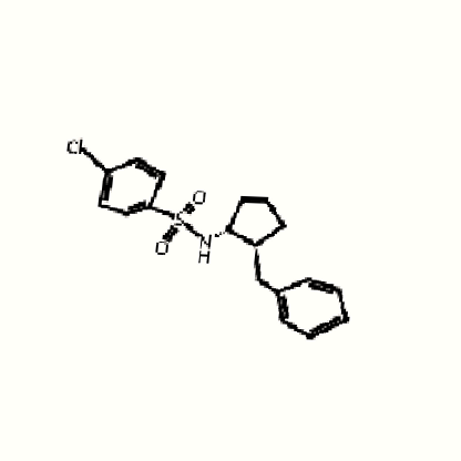 O=S(=O)(N[C@@H]1CCC[C@H]1Cc1ccccc1)c1ccc(Cl)cc1